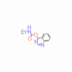 CCNC(=O)Oc1ncnc2ccccc12